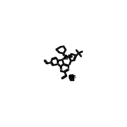 C=Cc1ccc2c(c1)-c1cc(C=C)ccc1[CH]2[Zr+2]([C]1=CC(C(C)(C)C)=CC1C)=[C]1CCCCC1.[Cl-].[Cl-]